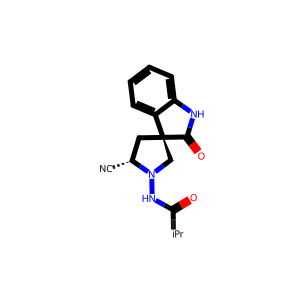 CC(C)C(=O)NN1C[C@]2(C[C@H]1C#N)C(=O)Nc1ccccc12